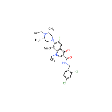 COc1c(N2C[C@@H](C)N(CC(C)=O)[C@@H](C)C2)c(F)cc2c(=O)c(C(=O)NCc3ccc(Cl)cc3Cl)cn(CC(F)(F)F)c12